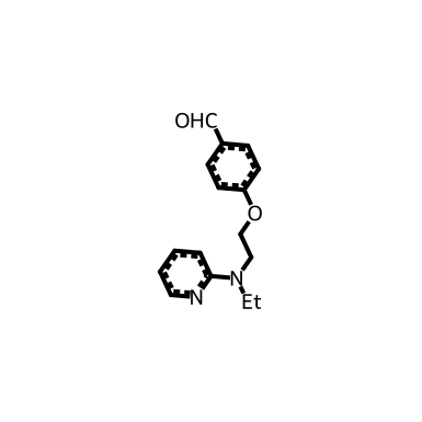 CCN(CCOc1ccc(C=O)cc1)c1ccccn1